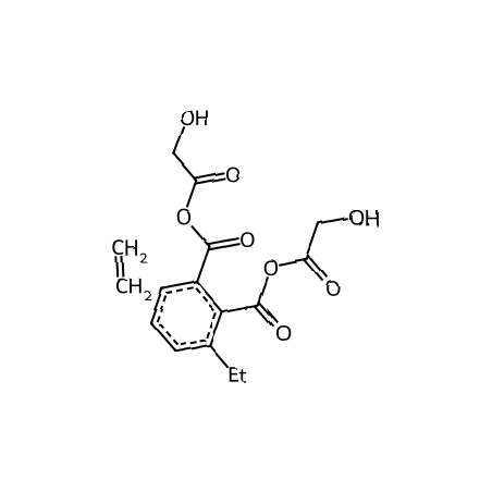 C=C.CCc1cccc(C(=O)OC(=O)CO)c1C(=O)OC(=O)CO